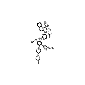 Cn1cc(-c2cc(Nc3ncc(C(F)(F)F)c(NC4C=Cc5ccccc5N4P(C)(C)=O)n3)c(OC3CC3)cc2N2CCC(N3CCNCC3)CC2)cn1